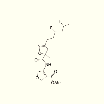 COC(=O)C1=C(NC(=O)C2(C)CC(CCC(F)CC(C)F)=NO2)COC1